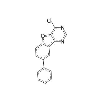 Clc1ncnc2c1oc1ccc(-c3ccccc3)cc12